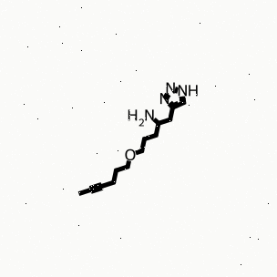 CC#CCCCOCCCC(N)Cc1c[nH]nn1